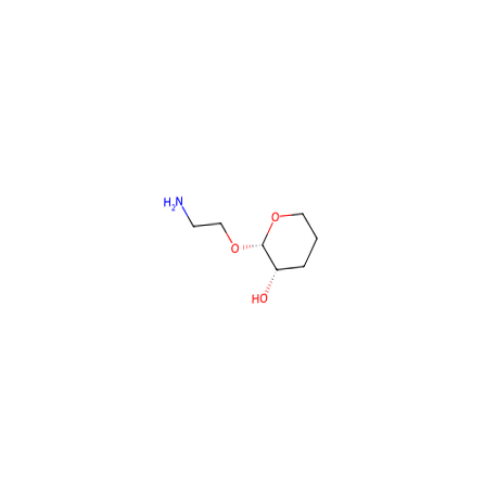 NCCO[C@@H]1OCCC[C@@H]1O